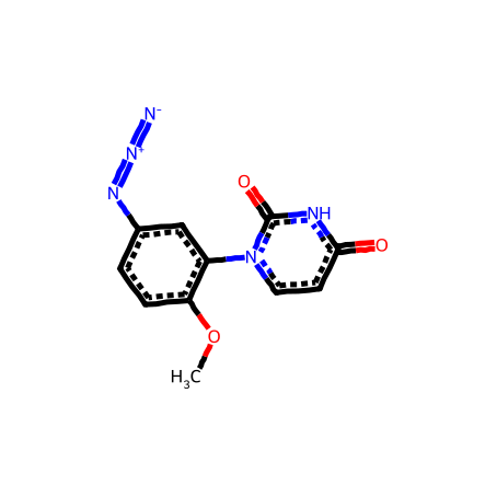 COc1ccc(N=[N+]=[N-])cc1-n1ccc(=O)[nH]c1=O